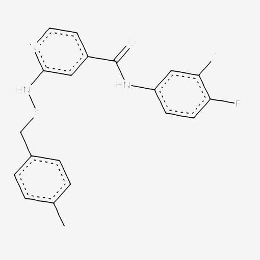 Cc1ccc(CSNc2cc(C(=O)Nc3ccc(F)c(Cl)c3)ccn2)cc1